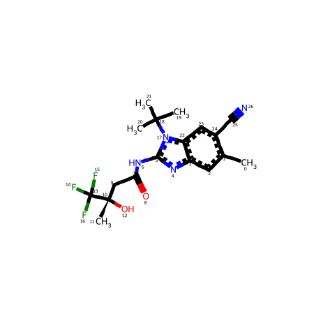 Cc1cc2nc(NC(=O)C[C@](C)(O)C(F)(F)F)n(C(C)(C)C)c2cc1C#N